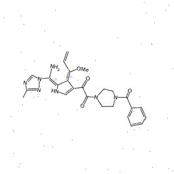 C=C/C(OC)=c1/c(C(=O)C(=O)N2CCN(C(=O)c3ccccc3)CC2)c[nH]/c1=C(/N)n1cnc(C)n1